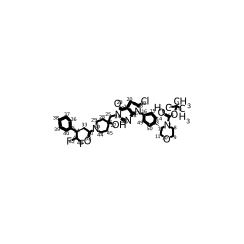 CC(C)(C)OC(=O)N1CCOC[C@@H]1c1ccc(-n2c(Cl)cc3c(=O)n(CC4(O)CCN(C(=O)C[C@H](c5ccccc5)C(F)F)CC4)cnc32)cc1